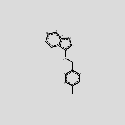 Cc1ccc(CSc2c[nH]c3ccccc23)cc1